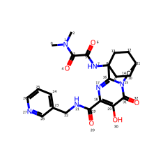 CN(C)C(=O)C(=O)NC12CCC(CC1)Cn1c2nc(C(=O)NCc2cccnc2)c(O)c1=O